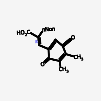 CCCCCCCCC/C(=C\C1=CC(=O)C(C)=C(C)C1=O)C(=O)O